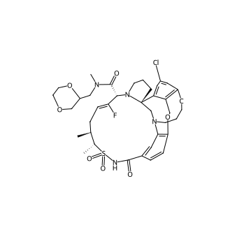 C[C@@H]1[C@@H](C)C/C=C(\F)[C@H](C(=O)N(C)CC2COCCO2)N2CCC[C@@]23CN2CCCCc4cc(Cl)cc3c4COc3ccc(cc32)C(=O)NS1(=O)=O